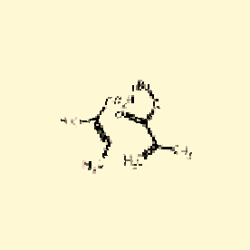 C=C(C)C(=O)OCCCC.CC=C(C)C(=O)O